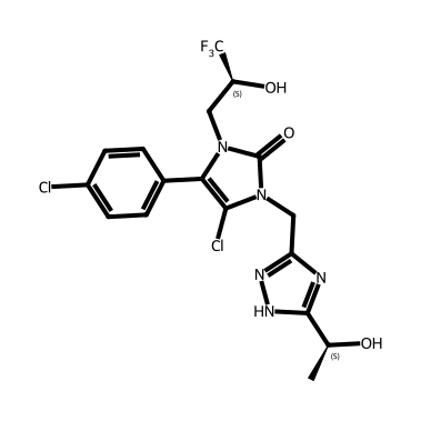 C[C@H](O)c1nc(Cn2c(Cl)c(-c3ccc(Cl)cc3)n(C[C@H](O)C(F)(F)F)c2=O)n[nH]1